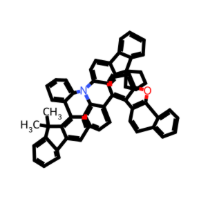 CC1(C)c2ccccc2-c2cccc(-c3ccccc3N(c3ccc4c(c3)C3(CCCC3)c3ccccc3-4)c3ccccc3-c3cccc4oc5c6ccccc6ccc5c34)c21